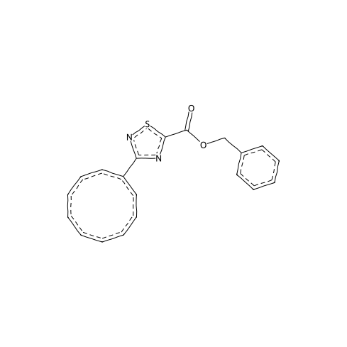 O=C(OCc1ccccc1)c1nc(-c2ccccccccc2)ns1